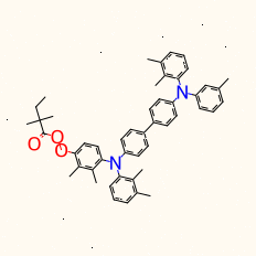 CCC(C)(C)C(=O)OOc1ccc(N(c2ccc(-c3ccc(N(c4cccc(C)c4)c4cccc(C)c4C)cc3)cc2)c2cccc(C)c2C)c(C)c1C